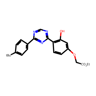 CCOC(=O)COc1ccc(-c2ncnc(-c3ccc(C(C)(C)C)cc3)n2)c(O)c1